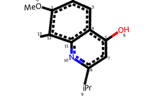 COc1ccc2c(O)cc(C(C)C)nc2c1C